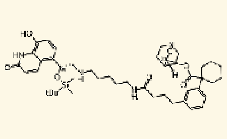 CC(C)(C)[Si](C)(C)O[C@@H](CNCCCCCNC(=O)CCCc1cccc(C2(C(=O)O[C@H]3CN4CCC3CC4)CCCCC2)c1)c1ccc(O)c2[nH]c(=O)ccc12